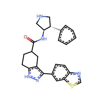 O=C(N[C@H]1CNC[C@@H]1c1ccccc1)C1CCc2[nH]nc(-c3ccc4ncsc4c3)c2C1